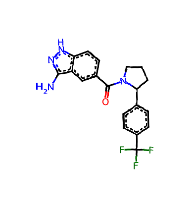 Nc1n[nH]c2ccc(C(=O)N3CCCC3c3ccc(C(F)(F)F)cc3)cc12